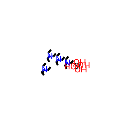 CCN(CC)CC.CCN(CC)CC.CCN(CC)CC.CCN(CC)CC.O[Si](O)(O)O